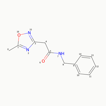 Cc1nc(CC(=O)NCc2ccccc2)no1